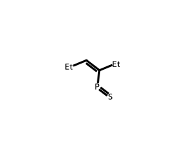 CCC=C(CC)P=S